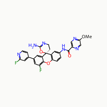 COc1cnc(C(=O)Nc2ccc3c(c2)[C@@]2(CCN=C(N)O2)c2cc(-c4ccnc(F)c4)cc(F)c2O3)cn1